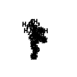 CC(C)CNC(=O)C(N)[C@@H](O)[C@H](CC1CCCCC1)C(=O)[C@H](Cc1c[nH]cn1)NC(=O)[C@H](Cc1ccccc1)NC(=O)CC1COc2ccc(C(=O)OCc3ccccc3)cc21